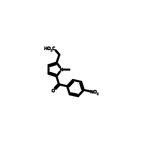 Cn1c(CC(=O)O)ccc1C(=O)c1ccc([N+](=O)[O-])cc1